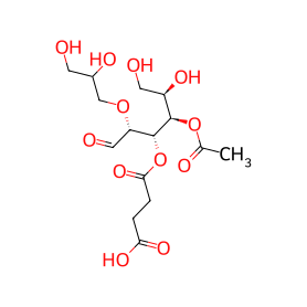 CC(=O)O[C@@H]([C@H](OC(=O)CCC(=O)O)[C@H](C=O)OCC(O)CO)[C@H](O)CO